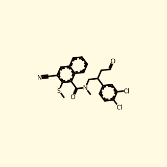 CSc1c(C#N)cc2ccccc2c1C(=O)N(C)CC(CC=O)c1ccc(Cl)c(Cl)c1